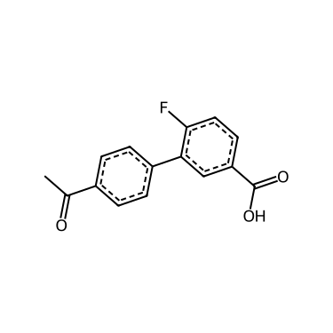 CC(=O)c1ccc(-c2cc(C(=O)O)ccc2F)cc1